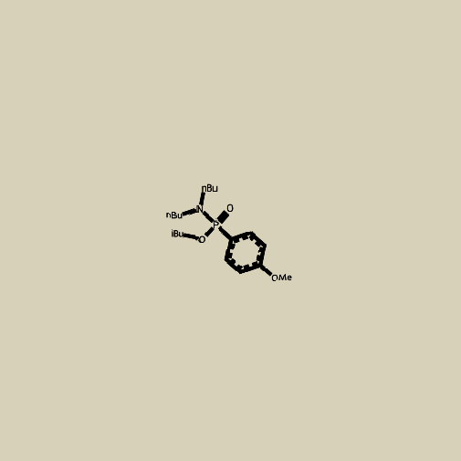 CCCCN(CCCC)P(=O)(OC(C)CC)c1ccc(OC)cc1